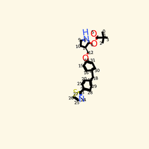 CC(C)(C)C(=O)OC1NCC[C@@H]1COc1ccc(Cc2ccc(-c3nccs3)cc2)cc1